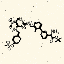 Cc1c(CNc2ncc([N+](=O)[O-])c(NCC3CCC(OS(C)(=O)=O)CC3)n2)cccc1-c1cccc(C(N)C(=O)OC(C)(C)C)c1